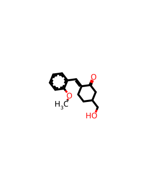 COc1ccccc1C=C1CCC(CO)CC1=O